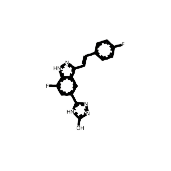 Oc1nnc(-c2cc(F)c3[nH]nc(C=Cc4ccc(F)cc4)c3c2)[nH]1